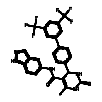 CC1=C(C(=O)Nc2ccc3[nH]ncc3c2)C(c2ccc(-c3cc(C(F)(F)F)cc(C(F)(F)F)c3)cc2)NC(=O)N1